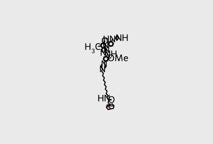 COc1cc(N2CCN(CCCCCCCCCCCCNC(=O)CC34CC5CC(CC(C5)C3)C4)CC2)ccc1Nc1ncc2c(C)cc(=O)n(-c3cccc(NC4CNC4)c3)c2n1